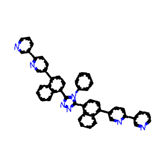 c1ccc(-n2c(-c3ccc(-c4ccc(-c5cccnc5)nc4)c4ccccc34)nnc2-c2ccc(-c3ccc(-c4cccnc4)nc3)c3ccccc23)cc1